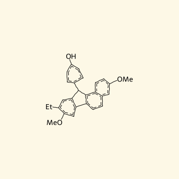 CCc1cc2c(cc1OC)-c1ccc3cc(OC)ccc3c1C2c1ccc(O)cc1